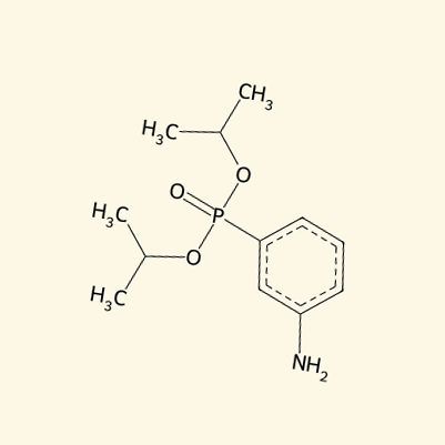 CC(C)OP(=O)(OC(C)C)c1cccc(N)c1